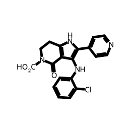 O=C(O)N1CCc2[nH]c(-c3ccncc3)c(Nc3ccccc3Cl)c2C1=O